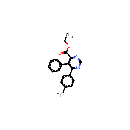 CCOC(=O)c1ncnc(-c2ccc(C)cc2)c1-c1ccccc1